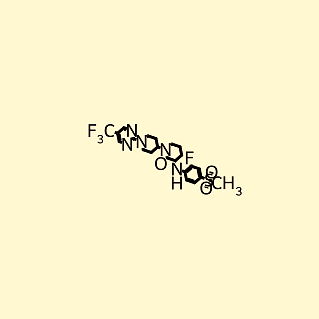 CS(=O)(=O)c1ccc(N[C@H]2CCCN(C3CCN(c4ncc(C(F)(F)F)cn4)CC3)C2=O)c(F)c1